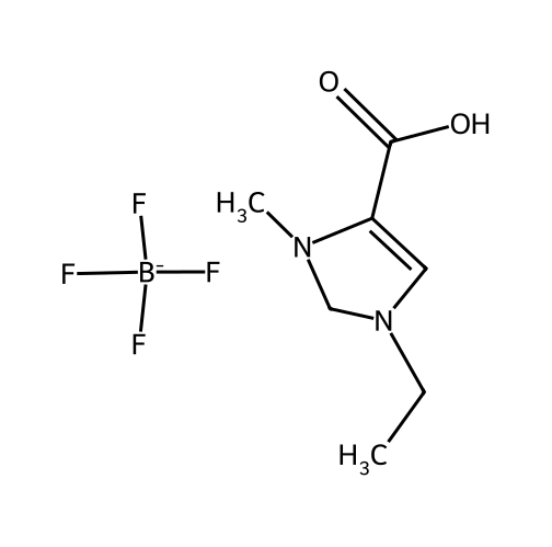 CCN1C=C(C(=O)O)N(C)C1.F[B-](F)(F)F